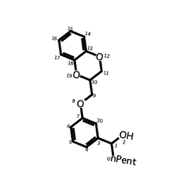 CCCCCC(O)c1cccc(OCC2COc3ccccc3O2)c1